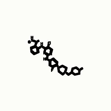 CN1CCC(CN2CCN(c3ccc(Nc4ncc(Cl)c(Nc5ccccc5N(C)[SH]=O)n4)cc3F)CC2)CC1